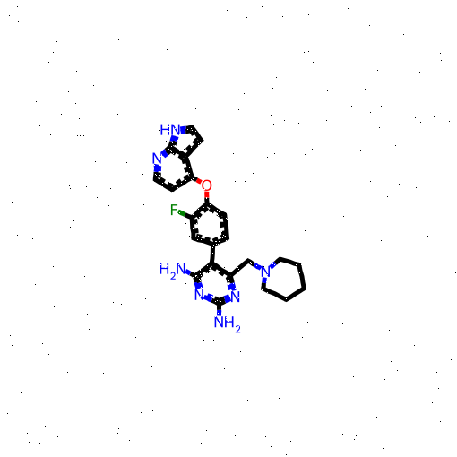 Nc1nc(N)c(-c2ccc(Oc3ccnc4[nH]ccc34)c(F)c2)c(CN2CCCCC2)n1